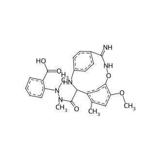 COc1cc(C)c2cc1ONC(=N)c1ccc(cc1)NC2C(=O)N(C)N(C)c1ccccc1C(=O)O